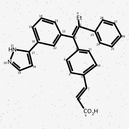 CC/C(=C(/c1ccc(/C=C/C(=O)O)cc1)c1cccc(-c2ccn[nH]2)c1)c1ccccc1